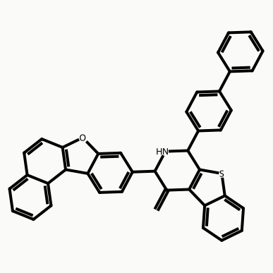 C=C1c2c(sc3ccccc23)C(c2ccc(-c3ccccc3)cc2)NC1c1ccc2c(c1)oc1ccc3ccccc3c12